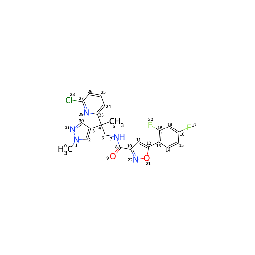 Cn1cc(C(C)(CNC(=O)c2cc(-c3ccc(F)cc3F)on2)c2cccc(Cl)n2)cn1